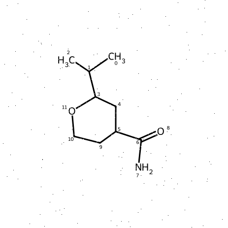 CC(C)C1CC(C(N)=O)CCO1